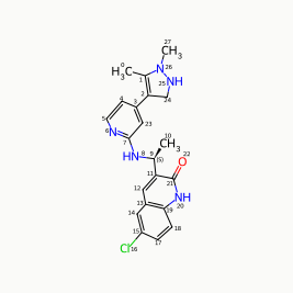 CC1=C(c2ccnc(N[C@@H](C)c3cc4cc(Cl)ccc4[nH]c3=O)c2)CNN1C